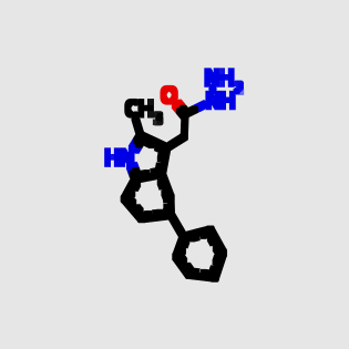 Cc1[nH]c2ccc(-c3ccccc3)cc2c1CC(=O)NN